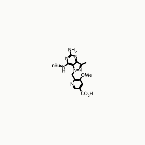 CCCCNc1nc(N)nc2c(C)nn(Cc3ncc(C(=O)O)cc3OC)c12